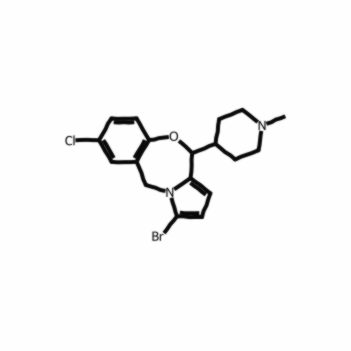 CN1CCC(C2Oc3ccc(Cl)cc3Cn3c(Br)ccc32)CC1